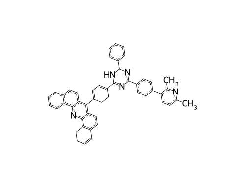 Cc1ccc(-c2ccc(C3=NC(c4ccccc4)NC(C4=CC=C(c5c6ccc7c(c6nc6c5ccc5ccccc56)CCC=C7)CC4)=N3)cc2)c(C)n1